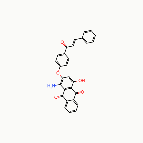 Nc1c(Oc2ccc(C(=O)/C=C/c3ccccc3)cc2)cc(O)c2c1C(=O)c1ccccc1C2=O